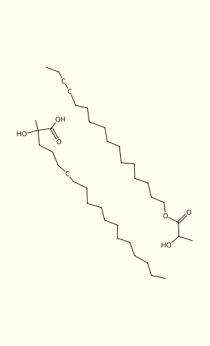 CCCCCCCCCCCCCCCCC(C)(O)C(=O)O.CCCCCCCCCCCCCCCCOC(=O)C(C)O